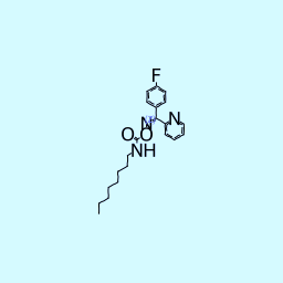 CCCCCCCCNC(=O)O/N=C(/c1ccc(F)cc1)c1ccccn1